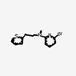 CN(CCc1cccs1)c1cccc(Br)n1